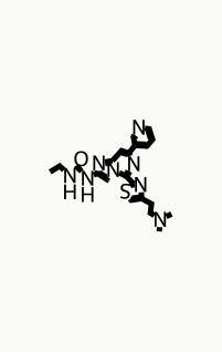 CCNC(=O)Nc1cn2c(-c3nc(CCN(C)C)cs3)nc(-c3cccnc3)cc2n1